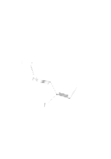 C/C=C(F)\C=N\O